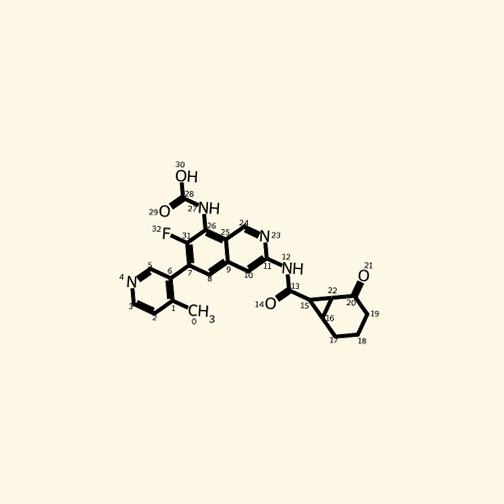 Cc1ccncc1-c1cc2cc(NC(=O)C3C4CCCC(=O)C43)ncc2c(NC(=O)O)c1F